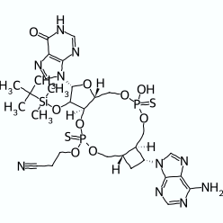 CC(C)(C)[Si](C)(C)OC1[C@H](n2cnc3c(=O)[nH]cnc32)O[C@@H]2COP(O)(=S)OC[C@@H]3[C@@H](COP(=S)(OCCC#N)O[C@@H]12)C[C@H]3n1cnc2c(N)ncnc21